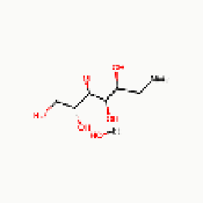 CCO.CNC[C@H](O)[C@@H](O)[C@H](O)[C@H](O)CO